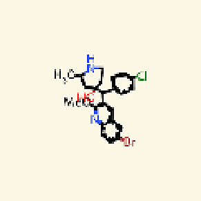 COc1nc2ccc(Br)cc2cc1C(c1ccc(Cl)cc1)C1(O)CCNC(C)C1